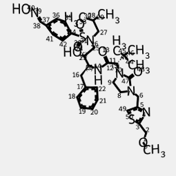 COCc1nc(CN2CCN([C@H](C(=O)N[C@@H](Cc3ccccc3)[C@@H](O)CN(CC(C)C)S(=O)(=O)c3ccc(C=NO)cc3)C(C)(C)C)C2=O)cs1